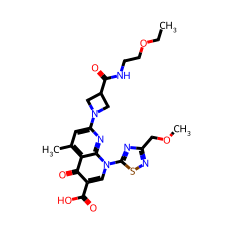 CCOCCNC(=O)C1CN(c2cc(C)c3c(=O)c(C(=O)O)cn(-c4nc(COC)ns4)c3n2)C1